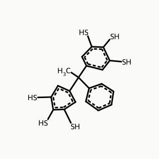 CC(c1ccccc1)(c1cc(S)c(S)c(S)c1)c1cc(S)c(S)c(S)c1